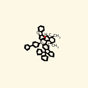 CC1(C)CCC(C)(C)c2c(-c3cc4c(cc3N(c3ccc(-c5ccccc5)cc3)c3ccc5c(c3)oc3ccccc35)C(c3ccccc3)(c3ccccc3)c3ccccc3-4)cccc21